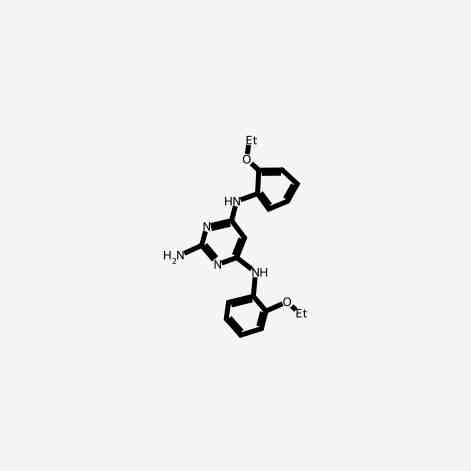 CCOc1ccccc1Nc1cc(Nc2ccccc2OCC)nc(N)n1